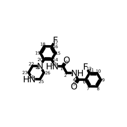 O=C(CNC(=O)c1ccccc1F)Nc1cc(F)ccc1N1CCNCC1